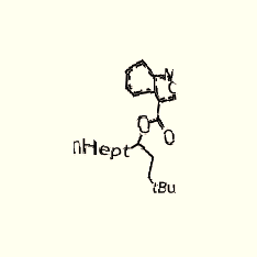 CCCCCCCC(CCC(C)(C)C)OC(=O)c1ccnc2ccccc12